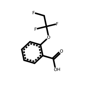 O=C(O)c1ccccc1OC(F)(F)CF